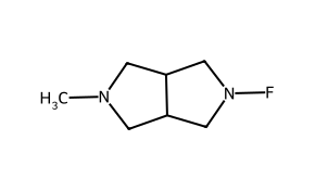 CN1CC2CN(F)CC2C1